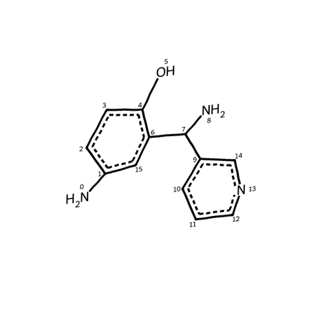 Nc1ccc(O)c(C(N)c2cccnc2)c1